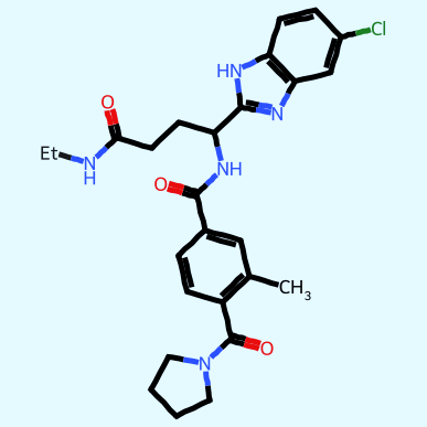 CCNC(=O)CCC(NC(=O)c1ccc(C(=O)N2CCCC2)c(C)c1)c1nc2cc(Cl)ccc2[nH]1